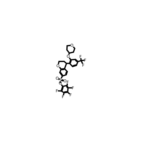 O=S(=O)(Oc1c(F)c(F)c(F)c(F)c1F)c1ccc2c(c1)OCCC2c1ccc(C(F)(F)F)cc1OC1CCOCC1